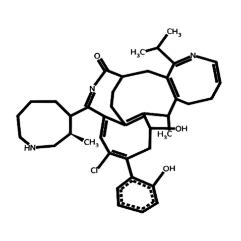 CC(C)C1=N/C=C\CC/C2=C\1CC1CCC3=C(\C(O)C\C(c4ccccc4O)=C(Cl)/C=C\3C(/C3CCCCNC[C@@H]3C)=N\C1=O)C2C